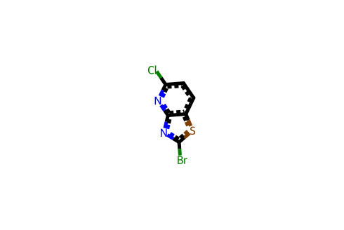 Clc1ccc2sc(Br)nc2n1